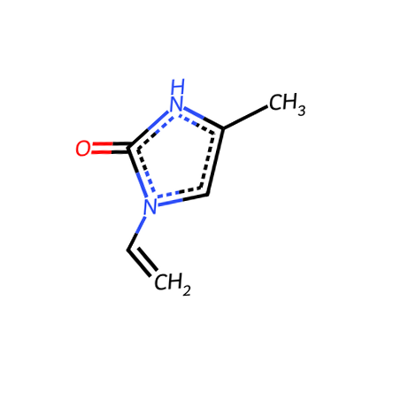 C=Cn1cc(C)[nH]c1=O